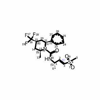 C[C@@H](/C=C/S(C)(=O)=O)NC(=O)N1[C@@H](C)C[C@@H](C(F)(F)F)C[C@H]1c1ccccc1